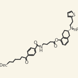 CCCCCCCCCCCCCCCC(=O)c1ccc(C(=O)NCCCC(=O)Oc2cccc3c2CC[C@H](N(CCC)CCc2cccs2)C3)cc1